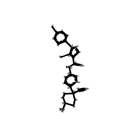 Cc1ccc(-n2ncc(C(=O)Nc3ccc(C4(C#N)CCC(O)CC4)nc3)c2C)cc1